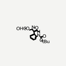 Cc1onc(COC=O)c1-c1ccccc1NC(=O)OC(C)(C)C